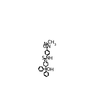 Cc1noc(-c2ccc(NC(=S)N3CCC(C(O)(c4ccccc4)c4ccccc4)CC3)cc2)n1